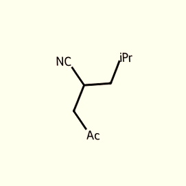 CC(=O)CC(C#N)CC(C)C